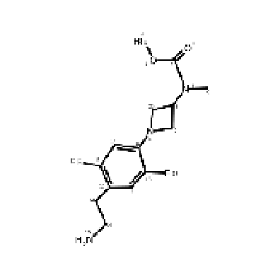 CN(C(=O)OC(C)(C)C)C1CN(c2cc(F)c(CCN)cc2F)C1